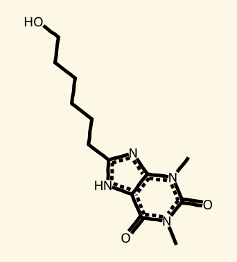 Cn1c(=O)c2[nH]c(CCCCCCO)nc2n(C)c1=O